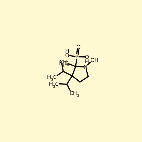 CC(C)C1(C(C)C)CCN(O)C1(C)P(=O)(O)O